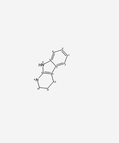 c1ccc2c3c([nH]c2c1)[N]CCC3